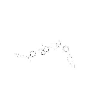 COC(=O)c1ccc(Cn2ccc3cc(C4CCN(C(=O)c5ccc(CN6CCN(C)CC6)cc5)CC4)cnc32)cc1